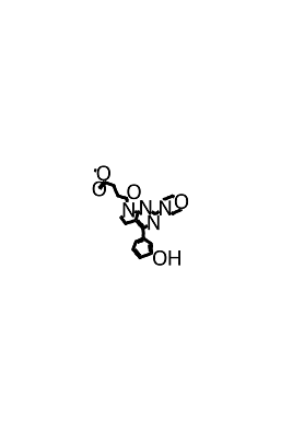 COC(=O)CCC(=O)N1CCc2c(-c3cccc(O)c3)nc(N3CCOCC3)nc21